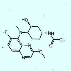 COc1cnc2ccc(F)c(N(C)[C@@H]3CC[C@@H](NC(=O)O)C[C@@H]3O)c2n1